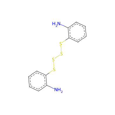 Nc1ccccc1SSSSc1ccccc1N